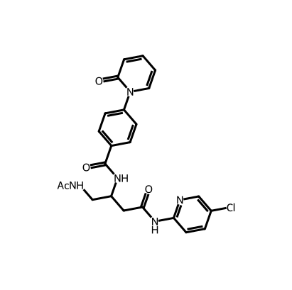 CC(=O)NCC(CC(=O)Nc1ccc(Cl)cn1)NC(=O)c1ccc(-n2ccccc2=O)cc1